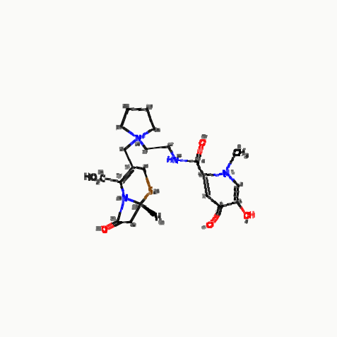 Cn1cc(O)c(=O)cc1C(=O)NCC[N+]1(CC2=C(C(=O)O)N3C(=O)C[C@H]3SC2)CCCC1